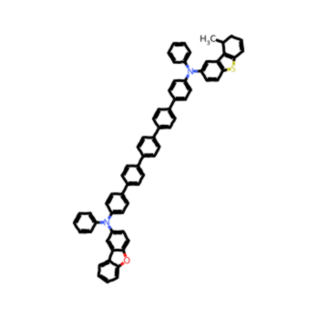 CC1CC=Cc2sc3ccc(N(c4ccccc4)c4ccc(-c5ccc(-c6ccc(-c7ccc(-c8ccc(N(c9ccccc9)c9ccc%10oc%11ccccc%11c%10c9)cc8)cc7)cc6)cc5)cc4)cc3c21